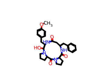 COc1ccc(CC2NC(=O)CC(Cc3ccccc3)NC(=O)C3CCCN3C(=O)C3CCCN3C2O)cc1